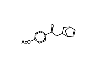 CC(=O)Oc1ccc(C(=O)CC2CC3C=CC2C3)cc1